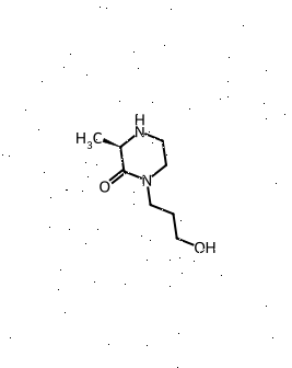 C[C@H]1NCCN(CCCO)C1=O